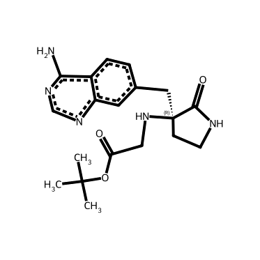 CC(C)(C)OC(=O)CN[C@]1(Cc2ccc3c(N)ncnc3c2)CCNC1=O